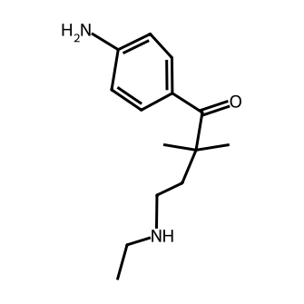 CCNCCC(C)(C)C(=O)c1ccc(N)cc1